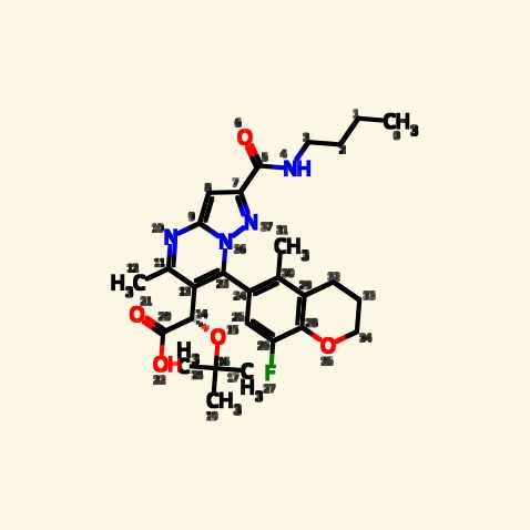 CCCCNC(=O)c1cc2nc(C)c([C@H](OC(C)(C)C)C(=O)O)c(-c3cc(F)c4c(c3C)CCCO4)n2n1